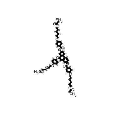 C=CC(=O)OCCCCCCOC1CCC(C(=O)Oc2ccc3c(c2)cc(Oc2ccc(OCCOCCOC)cc2)c2cc(OC(=O)C4CCC(OCCCCCCOC(=O)C=C)CC4)ccc23)CC1